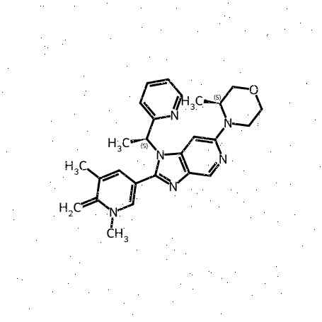 C=C1C(C)=CC(c2nc3cnc(N4CCOC[C@@H]4C)cc3n2[C@@H](C)c2ccccn2)=CN1C